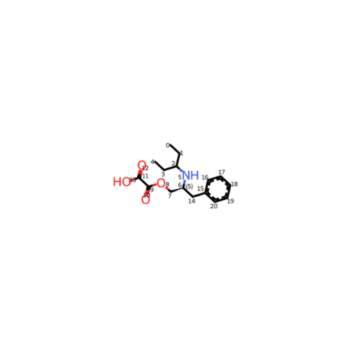 CCC(CC)N[C@H](COC(=O)C(=O)O)Cc1ccccc1